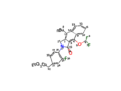 CCCCc1c2c(c(OC(F)F)c3ccccc13)C(=O)N(c1ccc(CC(=O)OCC)cc1F)C2